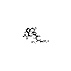 CCN(Cc1ccc2nc(C)[nH]c(=O)c2c1)c1ccc(C(=O)N[C@@H](CCC(=O)O)C(=O)O)s1